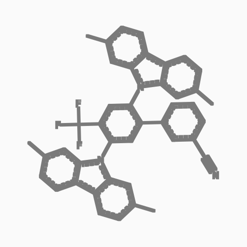 Cc1ccc2c3ccc(C)cc3n(-c3cc(C(F)(F)F)c(-n4c5cc(C)ccc5c5ccc(C)cc54)cc3-c3cccc(C#N)c3)c2c1